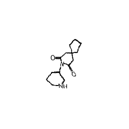 O=C1CC2(CCCC2)CC(=O)N1C1CCCNC1